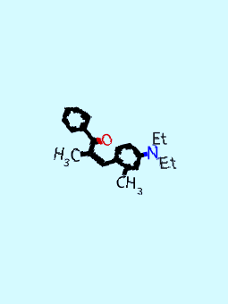 CCN(CC)c1ccc(C=C(C)C(=O)c2ccccc2)c(C)c1